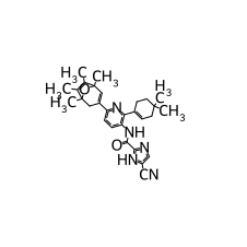 CC1=C(C)C2(C)CC(c3ccc(NC(=O)c4ncc(C#N)[nH]4)c(C4=CCC(C)(C)CC4)n3)=CC1(C)O2